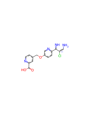 N=C(/C(Cl)=C\N)c1ccc(OCc2ccnc(C(=O)O)c2)cn1